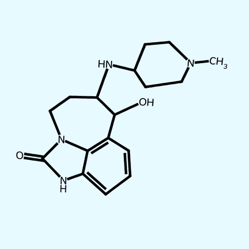 CN1CCC(NC2CCn3c(=O)[nH]c4cccc(c43)C2O)CC1